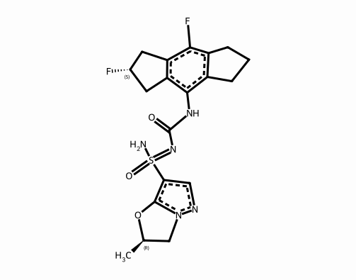 C[C@@H]1Cn2ncc(S(N)(=O)=NC(=O)Nc3c4c(c(F)c5c3C[C@H](F)C5)CCC4)c2O1